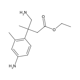 CCOC(=O)CC(C)(CN)c1ccc(N)cc1C